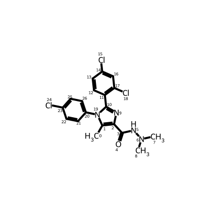 Cc1c(C(=O)NN(C)C)nc(-c2ccc(Cl)cc2Cl)n1-c1ccc(Cl)cc1